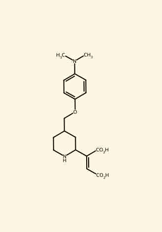 CN(C)c1ccc(OCC2CCNC(/C(=C/C(=O)O)C(=O)O)C2)cc1